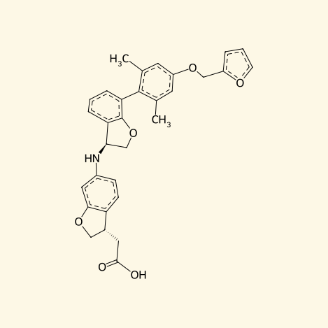 Cc1cc(OCc2ccco2)cc(C)c1-c1cccc2c1OC[C@H]2Nc1ccc2c(c1)OC[C@H]2CC(=O)O